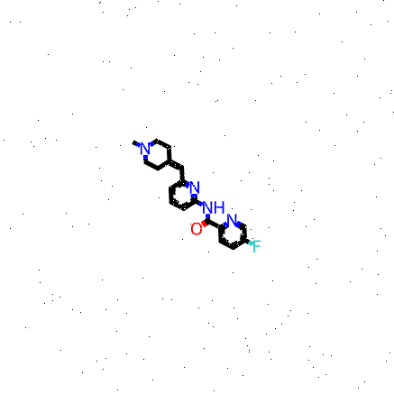 CN1CCC(=Cc2cccc(NC(=O)c3ccc(F)cn3)n2)CC1